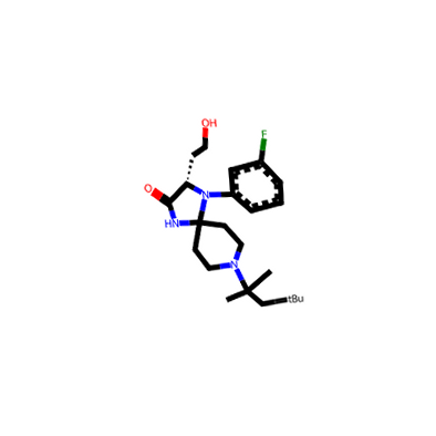 CC(C)(C)CC(C)(C)N1CCC2(CC1)NC(=O)[C@H](CCO)N2c1cccc(F)c1